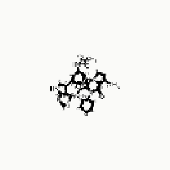 Cc1ccn2nc(C(C)Nc3ncnc4[nH]cc(-c5cncc(NS(C)(=O)=O)c5)c34)n(-c3ccccc3)c(=O)c12